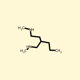 CCCC(CCNC)CNC